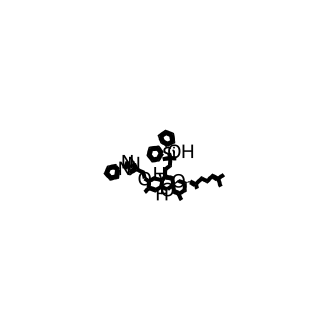 CC(C)=CCC/C(C)=C/[C@@H]1CC(C)=C[C@]2(C=C(CCC(C)(C)[Si](O)(c3ccccc3)c3ccccc3)[C@H]3CC(OCc4cn(-c5ccccc5)nn4)C(C)=C[C@H]3O2)O1